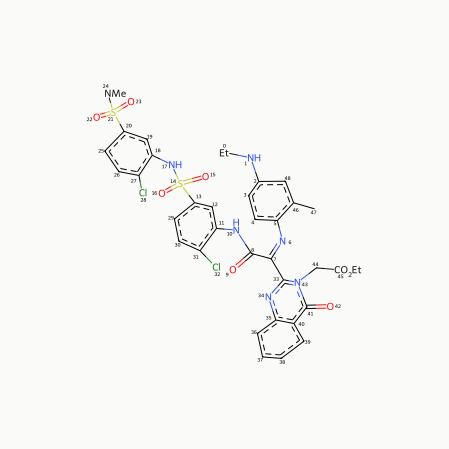 CCNc1ccc(/N=C(\C(=O)Nc2cc(S(=O)(=O)Nc3cc(S(=O)(=O)NC)ccc3Cl)ccc2Cl)c2nc3ccccc3c(=O)n2CC(=O)OCC)c(C)c1